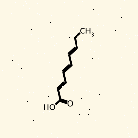 CCC=C/C=C/C=C/C(=O)O